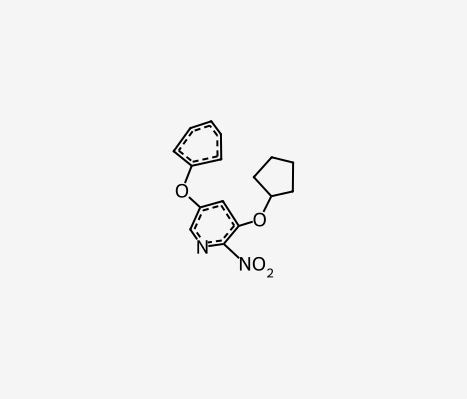 O=[N+]([O-])c1ncc(Oc2ccccc2)cc1OC1CCCC1